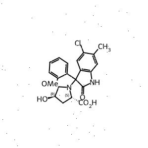 COc1ccccc1C1(N2C[C@H](O)C[C@H]2C(=O)O)C(=O)Nc2cc(C)c(Cl)cc21